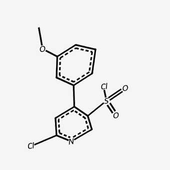 COc1cccc(-c2cc(Cl)ncc2S(=O)(=O)Cl)c1